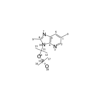 Cc1cnc2c(c1)nc(C)n2C(C)(C)OP(C)(C)=O